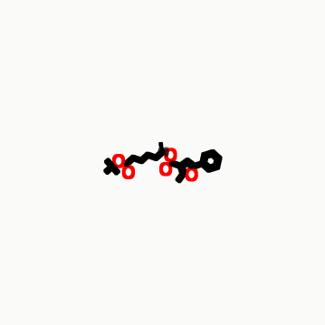 Cc1oc(-c2ccccc2)cc1C(=O)O[C@H](C)CCCCC(=O)OC(C)(C)C